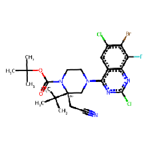 CC(C)(C)OC(=O)N1CCN(c2nc(Cl)nc3c(F)c(Br)c(Cl)cc23)C[C@]1(CC#N)C(C)(C)C